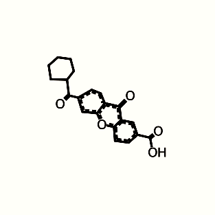 O=C(O)c1ccc2oc3cc(C(=O)C4CCCCC4)ccc3c(=O)c2c1